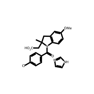 COc1ccc2c(c1)CC(C)(CC(=O)O)N2C(=O)c1ccc(Cl)cc1.c1c[nH]cn1